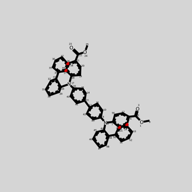 COC(=O)c1ccc(N(c2ccc(-c3ccc(N(c4ccc(C(=O)OC)cc4)c4ccccc4-c4ccccc4)cc3)cc2)c2ccccc2-c2ccccc2)cc1